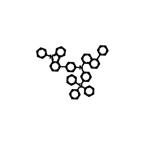 c1ccc(-c2cccc3c(N(c4ccc(-c5cccc6c5c5ccccc5n6-c5ccccc5)cc4)c4cccc([Si](c5ccccc5)(c5ccccc5)c5ccccc5)c4)cccc23)cc1